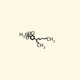 C=C/C=C(\C=C\CCC=C)c1ccc(S(C)(=O)=O)c(Cl)c1